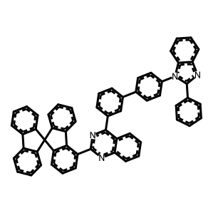 c1ccc(-c2nc3ccccc3n2-c2ccc(-c3cccc(-c4nc(-c5cccc6c5-c5ccccc5C65c6ccccc6-c6ccccc65)nc5ccccc45)c3)cc2)cc1